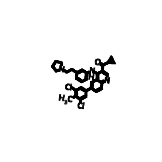 Cc1c(Cl)cc(-c2ccc3ncc(C(=O)C4CC4)c(Nc4cccc(CCN5CCCC5)c4)c3c2)cc1Cl